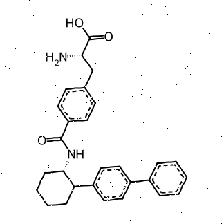 N[C@@H](Cc1ccc(C(=O)N[C@H]2CCCCC2c2ccc(-c3ccccc3)cc2)cc1)C(=O)O